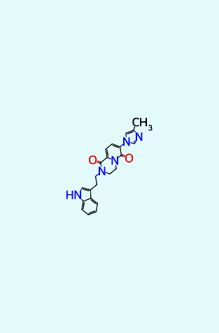 Cc1cn(-c2ccc3n(c2=O)CCN(CCc2c[nH]c4ccccc24)C3=O)cn1